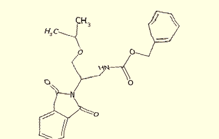 CC(C)OCC(CNC(=O)OCc1ccccc1)N1C(=O)c2ccccc2C1=O